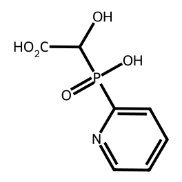 O=C(O)C(O)P(=O)(O)c1ccccn1